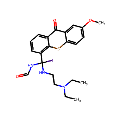 CCN(CC)CCNC(I)(NC=O)c1cccc2c(=O)c3cc(OC)ccc3sc12